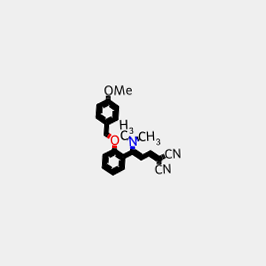 COc1ccc(COc2ccccc2C(=CC=C(C#N)C#N)N(C)C)cc1